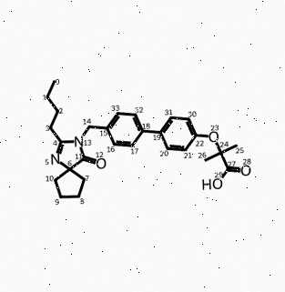 CCCCC1=NC2(CCCC2)C(=O)N1Cc1ccc(-c2ccc(OC(C)(C)C(=O)O)cc2)cc1